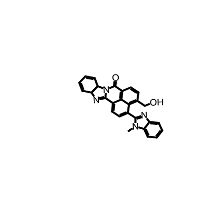 Cn1c(-c2ccc3c4n(c(=O)c5ccc(CO)c2c53)C2C=CC=CC2N=4)nc2ccccc21